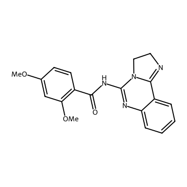 COc1ccc(C(=O)NC2=Nc3ccccc3C3=NCCN23)c(OC)c1